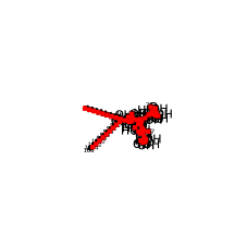 CCCCCCCCCCCCC/C=C/C(O)C(CO[C@@H]1O[C@H](CO)[C@@H](O[C@@H]2O[C@H](CO)[C@H](O[C@@H]3O[C@H](CO)[C@H](O)[C@H](O[C@@H]4O[C@H](CO)[C@H](O)[C@H](O)[C@H]4O)[C@H]3NC(C)=O)[C@H](OC[C@@H](O)[C@H](O)[C@@H]3O[C@](O)(C(=O)O)C[C@H](O)[C@H]3NC(C)=O)[C@H]2O)[C@H](O)[C@H]1O)NC(=O)CCCCCCCCCCCCCCCCC